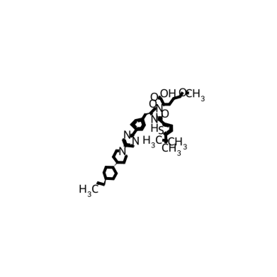 CCC[C@H]1CC[C@H](C2CCN(c3cnc(-c4ccc(C[C@H](NC(=O)c5ccc(C(C)(C)C)s5)C(=O)NC(CCCOC)C(=O)O)cc4)nc3)CC2)CC1